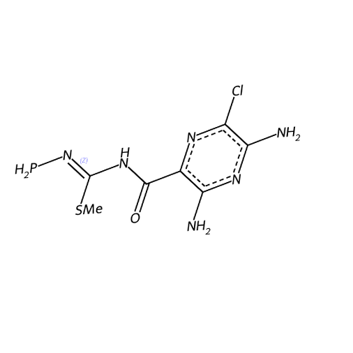 CS/C(=N\P)NC(=O)c1nc(Cl)c(N)nc1N